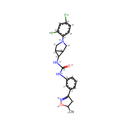 N#CC1CC(c2cccc(NC(=O)NC3C4CN(c5ccc(F)cc5F)CC43)c2)=NO1